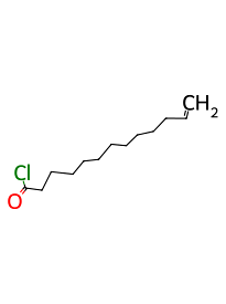 C=CCCCCCCCCCCC(=O)Cl